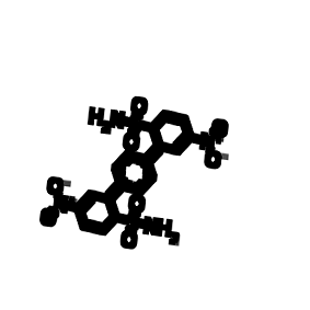 NS(=O)(=O)C1C=CC([N+](=O)[O-])=CC1=c1ccc(=C2C=C([N+](=O)[O-])C=CC2S(N)(=O)=O)cc1